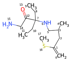 C=C(CC(C)CNC(CC)(CC)C(=O)CN)SC